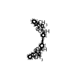 Cn1c(C(=O)N2CCC[C@H]2C(=O)Nc2ccc(C#Cc3ccc(NC(=O)[C@@H]4CCCN4C(=O)c4cc5ccccc5n4C)cc3)cc2)cc2ccccc21